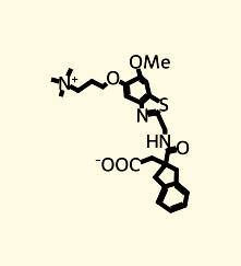 COc1cc2sc(CNC(=O)C3(CC(=O)[O-])Cc4ccccc4C3)nc2cc1OCCC[N+](C)(C)C